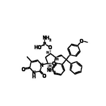 COc1ccc(C(C[C@H]2O[C@@](N)(n3cc(C)c(=O)[nH]c3=O)C[C@@H]2OP(N)O)(c2ccccc2)c2ccccc2)cc1